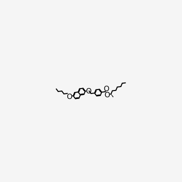 CCCCCC[C@@H](C)OC(=O)c1ccc(COc2ccc3cc(OCCCCC)ccc3c2)cc1